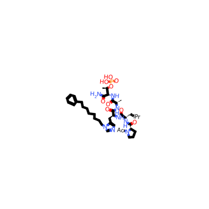 CC(=O)N1CCC[C@H]1C(=O)N[C@@H](CC(C)C)C(=O)N[C@@H](Cc1cncn1CCCCCCCCc1ccccc1)C(=O)N[C@@H](C)C(=O)N[C@H](C(N)=O)[C@@H](C)OP(=O)(O)O